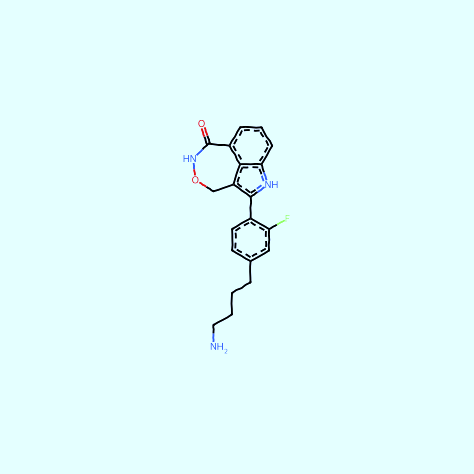 NCCCCc1ccc(-c2[nH]c3cccc4c3c2CONC4=O)c(F)c1